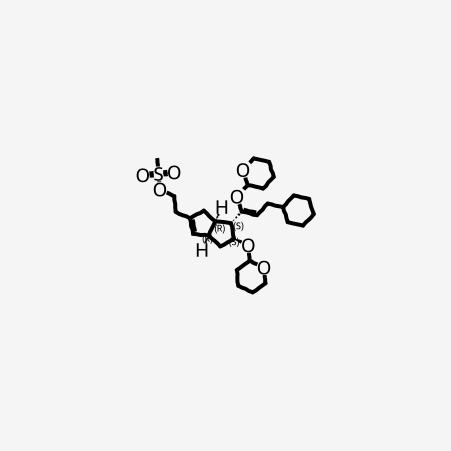 CS(=O)(=O)OCCC1=C[C@@H]2C[C@H](OC3CCCCO3)[C@@H](C(=CCC3CCCCC3)OC3CCCCO3)[C@@H]2C1